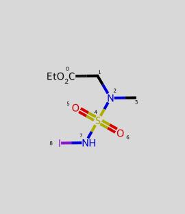 CCOC(=O)CN(C)S(=O)(=O)NI